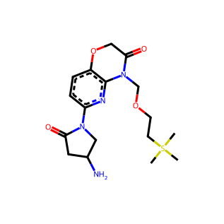 CS(C)(C)CCOCN1C(=O)COc2ccc(N3CC(N)CC3=O)nc21